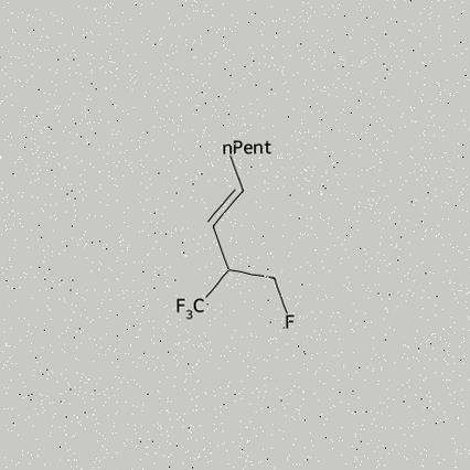 CCCCCC=CC(CF)C(F)(F)F